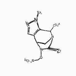 CCn1ncc2c1C(C(=O)O)N1CC2N(OS(=O)(=O)O)C1=O